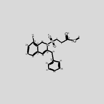 COC(=O)CCS(=O)(=O)N1Cc2c(F)cccc2C=C1Cc1ccccc1